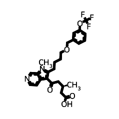 C[C@@H](CC(=O)O)CC(=O)c1c(CCCCOCc2cccc(OC(F)(F)F)c2)n(C)c2cnccc12